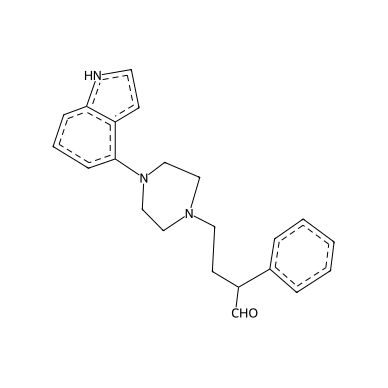 O=CC(CCN1CCN(c2cccc3[nH]ccc23)CC1)c1ccccc1